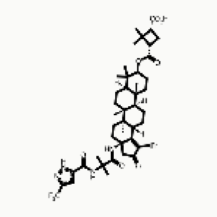 CC(C)C1=C2[C@H]3CC[C@@H]4[C@@]5(C)CC[C@H](OC(=O)[C@H]6C[C@@H](C(=O)O)C6(C)C)C(C)(C)[C@@H]5CC[C@@]4(C)[C@]3(C)CC[C@@]2(NC(=O)C(C)(C)NC(=O)c2cc(C(F)(F)F)n[nH]2)CC1=O